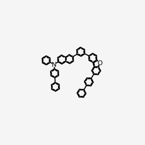 c1ccc(-c2ccc(-c3ccc4oc5ccc(-c6cccc(-c7ccc8cc(N(c9ccccc9)c9ccc(-c%10ccccc%10)cc9)ccc8c7)c6)cc5c4c3)cc2)cc1